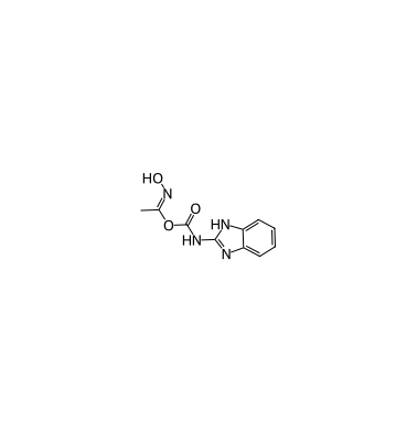 CC(=NO)OC(=O)Nc1nc2ccccc2[nH]1